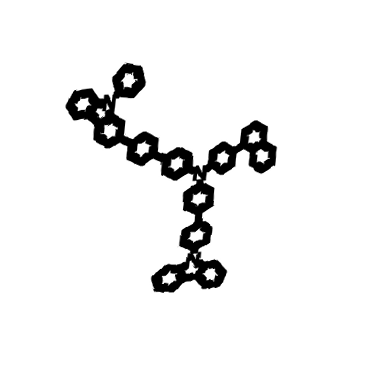 c1ccc(-n2c3ccccc3c3ccc(-c4ccc(-c5ccc(N(c6ccc(-c7ccc(-n8c9ccccc9c9ccccc98)cc7)cc6)c6ccc(-c7cccc8ccccc78)cc6)cc5)cc4)cc32)cc1